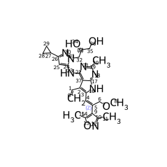 C=Cc1c(/C=C(\COC)c2c(C)noc2C)[nH]c2nc(C)nc(Nc3cc(C4CC4)nn3C[C@H](O)CO)c12